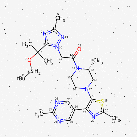 Cc1nc(C(C)(C)O[SiH2]C(C)(C)C)n(CC(=O)N2CCN(c3sc(C(F)(F)F)nc3-c3cnc(C(F)(F)F)nc3)C[C@H]2C)n1